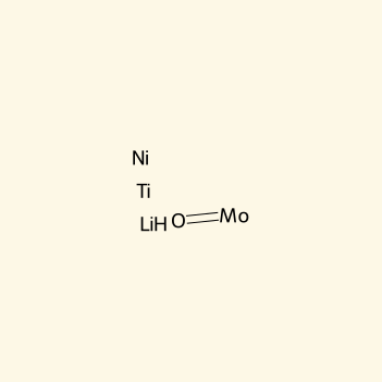 [LiH].[Ni].[O]=[Mo].[Ti]